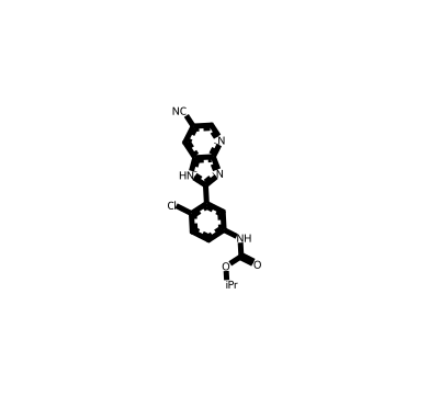 CC(C)OC(=O)Nc1ccc(Cl)c(-c2nc3ncc(C#N)cc3[nH]2)c1